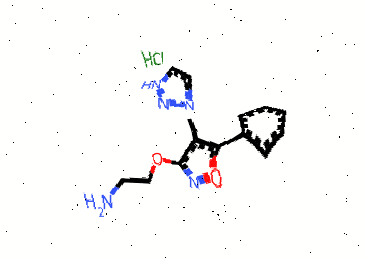 Cc1c(OCCN)noc1-c1ccccc1.Cl.c1c[nH]nn1